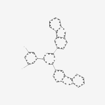 Brc1cc(Br)cc(-c2nc(-c3ccc4oc5ccccc5c4c3)nc(-c3ccc4oc5ccccc5c4c3)n2)c1